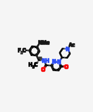 CNc1cc([C@@H](C)NC(=O)c2ccc(=O)n(C3CCN(C(C)=O)CC3)n2)cc(C(F)(F)F)c1